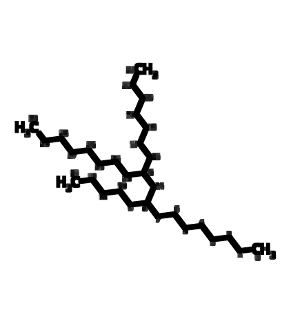 CCCCCCCCC(CCCCC)CC(CCCCCCC)CCCCCCCC